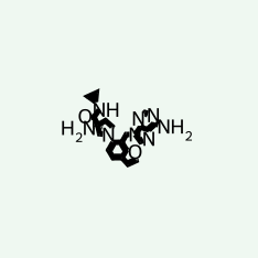 Nc1ncnc2c1ncn2Cc1c(N2CC[C@](N)(C(=O)NC3CC3)C2)ccc2ccoc12